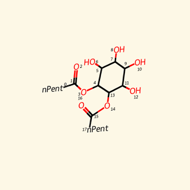 CCCCCC(=O)OC1C(O)C(O)C(O)C(O)C1OC(=O)CCCCC